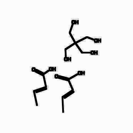 CC=CC(=O)O.CC=CC(=O)O.OCC(CO)(CO)CO